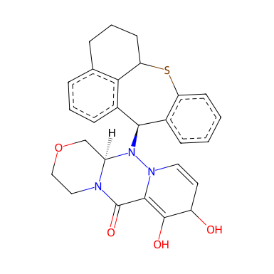 O=C1C2=C(O)C(O)C=CN2N([C@@H]2c3ccccc3SC3CCCc4cccc2c43)[C@@H]2COCCN12